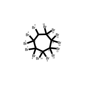 BrC1C(Br)(Br)C(Br)(Br)C(Br)(Br)C(Br)(Br)C(Br)(Br)C1(Br)Br